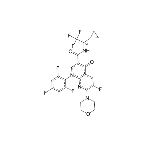 O=C(N[C@@H](C1CC1)C(F)(F)F)c1cn(-c2c(F)cc(F)cc2F)c2nc(N3CCOCC3)c(F)cc2c1=O